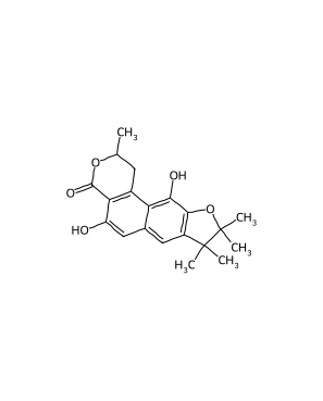 CC1Cc2c(c(O)cc3cc4c(c(O)c23)OC(C)(C)C4(C)C)C(=O)O1